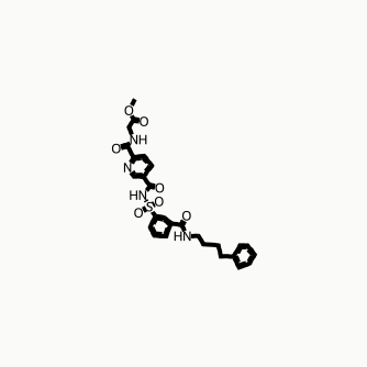 COC(=O)CNC(=O)c1ccc(C(=O)NS(=O)(=O)c2cccc(C(=O)NCCCCc3ccccc3)c2)cn1